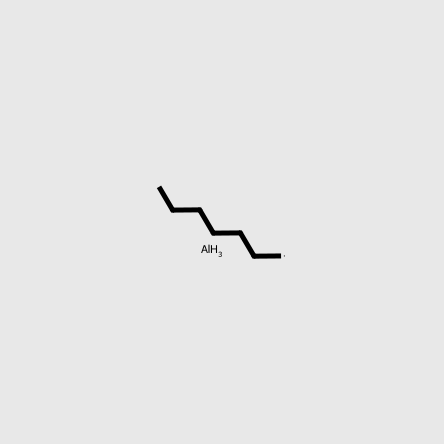 [AlH3].[CH2]CCCCCC